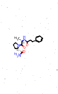 C[C@H](NC(=O)CCc1ccccc1)C(=O)N1CCC[C@H]1C(N)=O